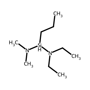 CCC[SiH](N(C)C)N(CC)CC